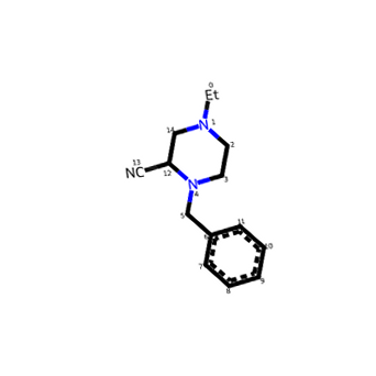 CCN1CCN(Cc2ccccc2)C(C#N)C1